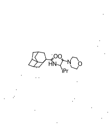 CC(C)C(NC(=O)C12CC3CC4CC(C1)C4(C3)C2)C(=O)N1CCOCC1